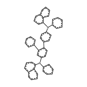 c1ccc(-c2cc(N(c3ccccc3)c3cccc4ccccc34)ccc2-c2ccc(N(c3ccccc3)c3cccc4ccccc34)cc2)cc1